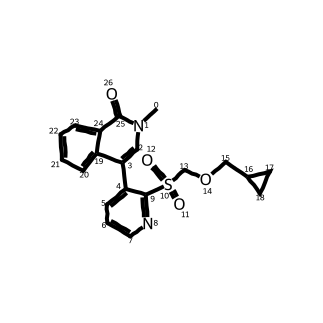 Cn1cc(-c2cccnc2S(=O)(=O)COCC2CC2)c2ccccc2c1=O